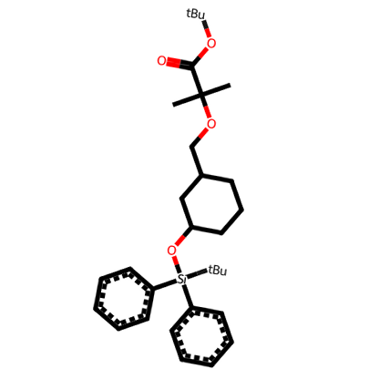 CC(C)(C)OC(=O)C(C)(C)OCC1CCCC(O[Si](c2ccccc2)(c2ccccc2)C(C)(C)C)C1